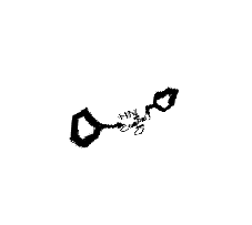 [NH]P(=O)(OCc1ccccc1)OCc1ccccc1